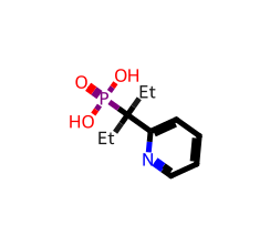 CCC(CC)(c1ccccn1)P(=O)(O)O